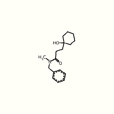 CN(Cc1ccccc1)C(=O)CCC1(O)CCCCC1